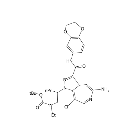 CCCC(CN(CC)C(=O)OC(C)(C)C)N1N=C(C(=O)Nc2ccc3c(c2)OCCO3)C2C=C(N)N=CC(Cl)=C21